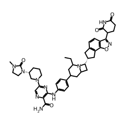 CCC1CC(c2ccc(Nc3nc(N4CCC[C@@H](N5CCN(C)C5=O)C4)cnc3C(N)=O)cc2)CC2CC([C@@H]3Cc4ccc5c(C6CCC(=O)NC6=O)noc5c4C3)N12